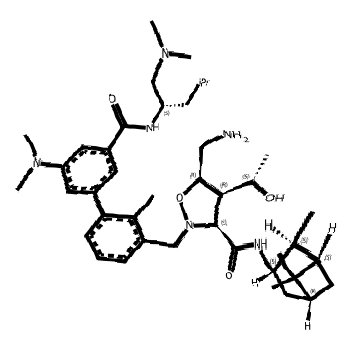 Cc1c(CN2O[C@@H](CN)[C@@H]([C@H](C)O)[C@H]2C(=O)N[C@H]2C[C@H]3C[C@@H]([C@@H]2C)C3(C)C)cccc1-c1cc(C(=O)N[C@@H](CC(C)C)CN(C)C)cc(N(C)C)c1